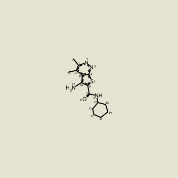 Cc1nnc2sc(C(=O)NC3CCCCC3)c(N)c2c1C